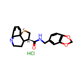 Cl.O=C(NCc1ccc2c(c1)OCO2)[C@@H]1CSC23C=CC=CC2=NCCC13